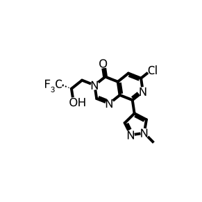 Cn1cc(-c2nc(Cl)cc3c(=O)n(C[C@H](O)C(F)(F)F)cnc23)cn1